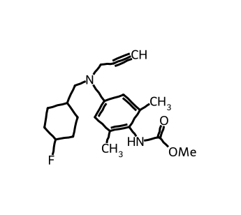 C#CCN(CC1CCC(F)CC1)c1cc(C)c(NC(=O)OC)c(C)c1